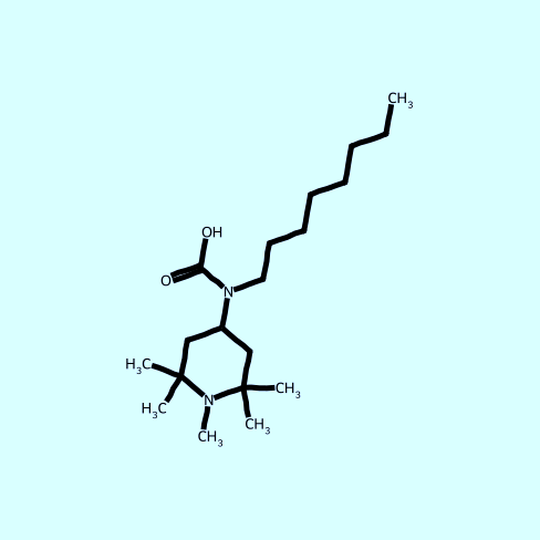 CCCCCCCCN(C(=O)O)C1CC(C)(C)N(C)C(C)(C)C1